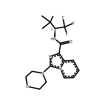 CC(C)(C)[C@H](NC(=O)c1nc(N2CCOCC2)n2ccccc12)C(F)(F)F